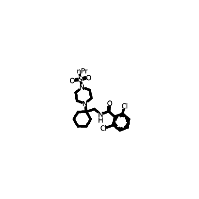 CCCS(=O)(=O)N1CCN(C2(CNC(=O)c3c(Cl)cccc3Cl)CCCCC2)CC1